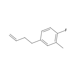 C=CCCc1ccc(F)c(C)c1